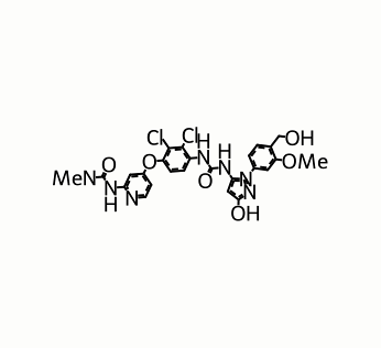 CNC(=O)Nc1cc(Oc2ccc(NC(=O)Nc3cc(O)nn3-c3ccc(CO)c(OC)c3)c(Cl)c2Cl)ccn1